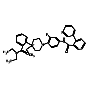 CCN(CC)C(=O)c1ccccc1[N+]1(CC)CCN(c2ccc(NC(=O)c3ccccc3-c3cccnc3)cc2F)CC1